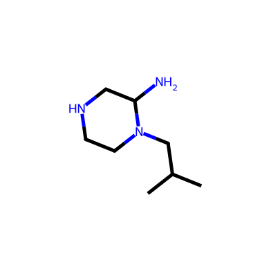 CC(C)CN1CCNCC1N